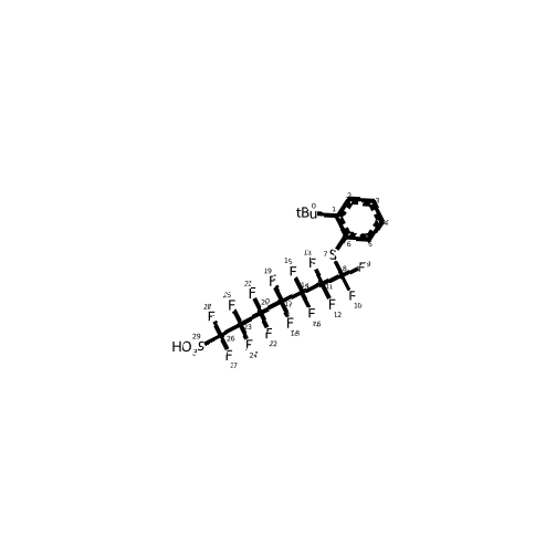 CC(C)(C)c1ccccc1SC(F)(F)C(F)(F)C(F)(F)C(F)(F)C(F)(F)C(F)(F)C(F)(F)S(=O)(=O)O